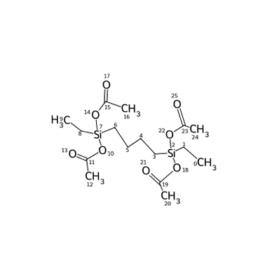 CC[Si](CCCC[Si](CC)(OC(C)=O)OC(C)=O)(OC(C)=O)OC(C)=O